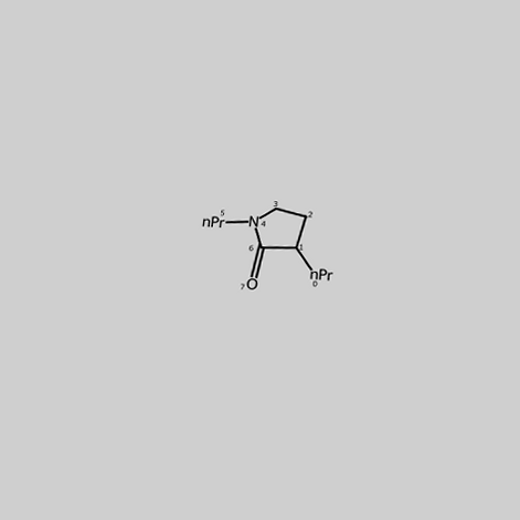 CCCC1CCN(CCC)C1=O